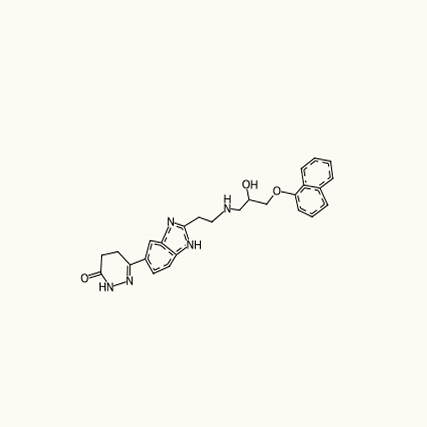 O=C1CCC(c2ccc3[nH]c(CCNCC(O)COc4cccc5ccccc45)nc3c2)=NN1